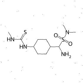 CNC(=S)NC1CCC(C(N)S(=O)(=O)N(C)C)CC1